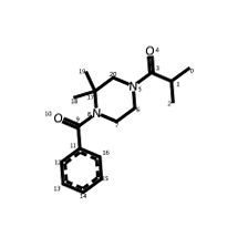 CC(C)C(=O)N1CCN(C(=O)c2ccccc2)C(C)(C)C1